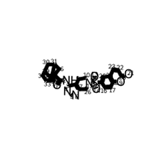 O=C(Nc1ncnc2c1CCN(S(=O)(=O)c1ccc3oc(=O)ccc3c1)C2)C12CC3CC(CC(C3)C1)C2